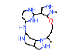 CC1CCOC2C(CNN2C)C2NCCC(NC3CC4C(CN3)CNN14)N2